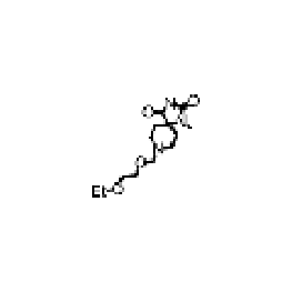 CCOCCOCN1CCC2(CC1)C(=O)[N]C(=O)N2C